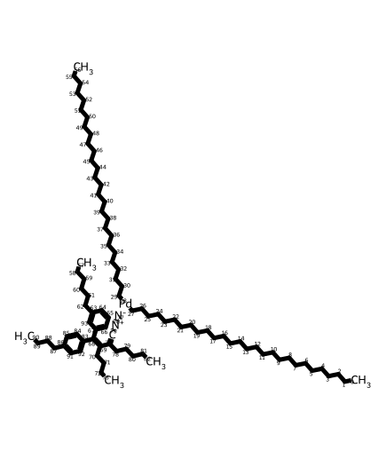 CCCCCCCCCCCCCCCCCCCCCCCCCCC[CH2][Pd][CH2]CCCCCCCCCCCCCCCCCCCCCCCCCCC.CCCCCCc1cccc(C(=C(CCCC)C(=C=[N+]=[N-])CCCCC)c2ccc(CCCC)cc2)c1